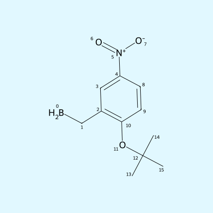 BCc1cc([N+](=O)[O-])ccc1OC(C)(C)C